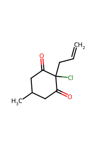 C=CCC1(Cl)C(=O)CC(C)CC1=O